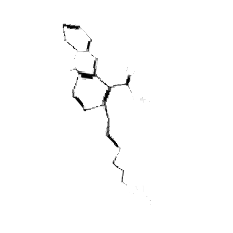 CCCCC=CCc1ccc2c(c1C(=O)O)Cc1ccccc1O2